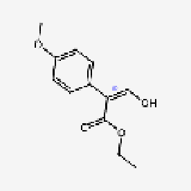 CCOC(=O)/C(=C\O)c1ccc(OC)cc1